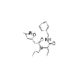 CCCN(C(=O)Cc1cc(C)no1)C(CC)C(=O)NCc1ccccc1